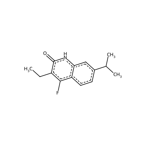 CCc1c(F)c2ccc(C(C)C)cc2[nH]c1=O